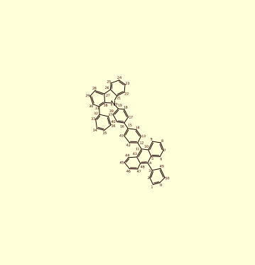 c1ccc(-c2c3ccccc3c(-c3ccc(-c4ccc(-n5c6ccccc6c6cccc(-c7ccccc7)c65)cc4)cc3)c3ccccc23)cc1